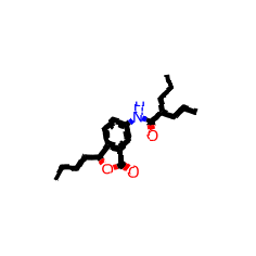 CCCCC1OC(=O)c2cc(NC(=O)C(CCC)CCC)ccc21